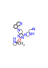 C[C@@]1(COc2nc3c(c(N4CCNC(CC#N)C4)n2)CCN(c2cccc4ccncc24)C3)CCCN1